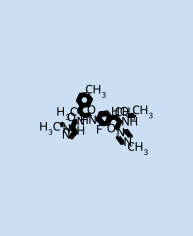 CCC(O)N[C@@H](C(=O)N1CCN(C)CC1)[C@@H](C)c1ccc(NC(=O)C(NC(=O)c2ccnn2CC)C(C)C2CCC(C)CC2)c(F)c1